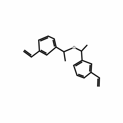 C=Cc1cccc(C(C)OC(C)c2cccc(C=C)c2)c1